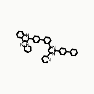 c1ccc(-c2ccc(-c3nc(-c4cccc(-c5ccc(-c6nc7ccccc7c7nc8ccccn8c67)cc5)c4)cc(-c4ccccn4)n3)cc2)cc1